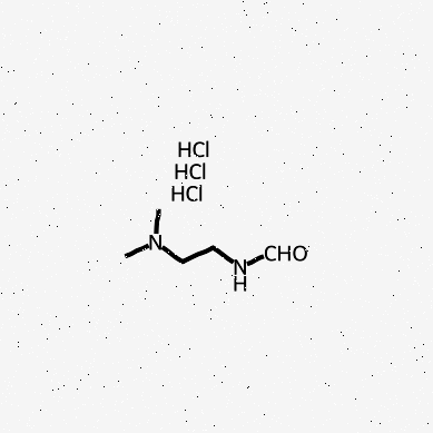 CN(C)CCNC=O.Cl.Cl.Cl